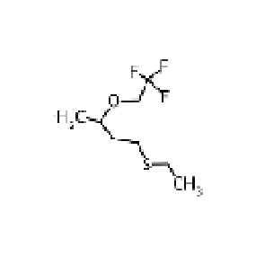 [CH2]C(CCSCC)OCC(F)(F)F